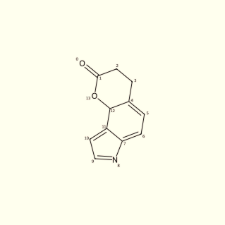 O=C1CCC2=CC=C3N=CC=C3C2O1